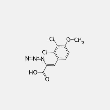 COc1ccc(/C=C(\N=[N+]=[N-])C(=O)O)c(Cl)c1Cl